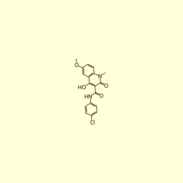 COc1ccc2c(c1)c(O)c(C(=O)Nc1ccc(Cl)cc1)c(=O)n2C